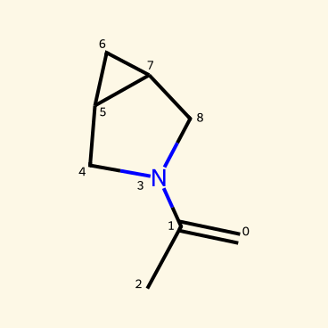 C=C(C)N1CC2CC2C1